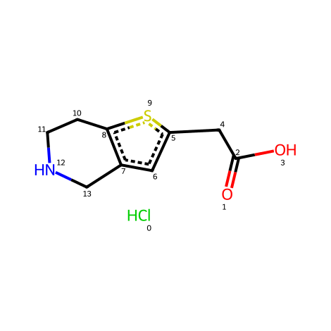 Cl.O=C(O)Cc1cc2c(s1)CCNC2